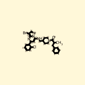 CC(Cc1ccccc1)C(=O)N1CCC(CNc2cc(-c3ccccc3Cl)nc3c(Br)cnn23)CC1